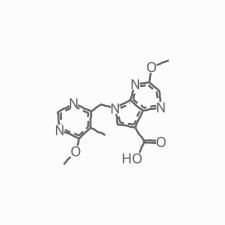 COc1cnc2c(C(=O)O)cn(Cc3ncnc(OC)c3C)c2n1